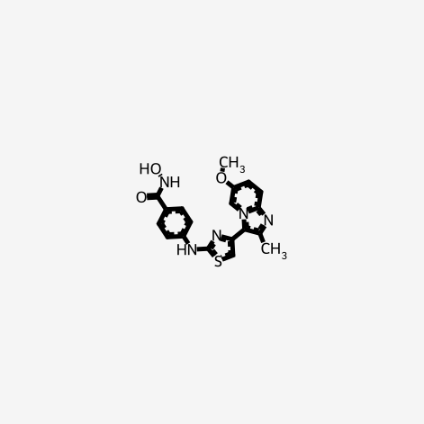 COc1ccc2nc(C)c(-c3csc(Nc4ccc(C(=O)NO)cc4)n3)n2c1